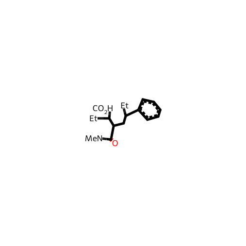 CCC(CC(C(=O)NC)C(CC)C(=O)O)c1ccccc1